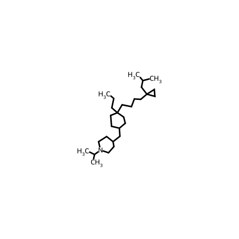 CCCC1(CCCCC2(CC(C)C)CC2)CCC(CC2CCN(C(C)C)CC2)CC1